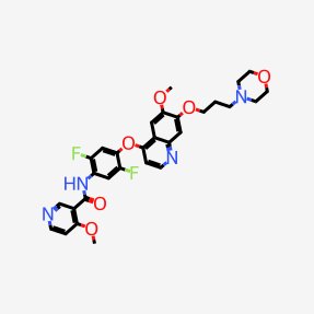 COc1cc2c(Oc3cc(F)c(NC(=O)c4cnccc4OC)cc3F)ccnc2cc1OCCCN1CCOCC1